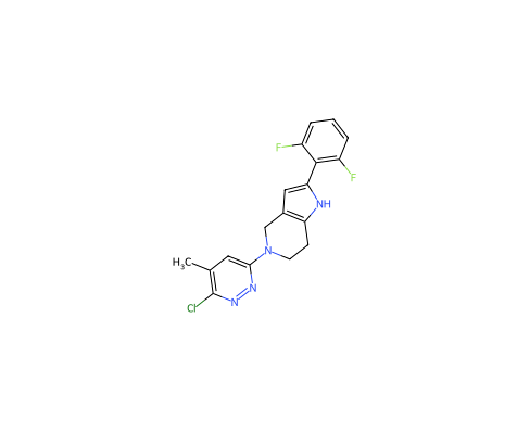 Cc1cc(N2CCc3[nH]c(-c4c(F)cccc4F)cc3C2)nnc1Cl